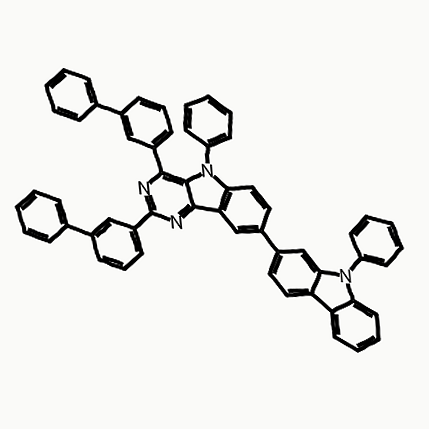 c1ccc(-c2cccc(-c3nc(-c4cccc(-c5ccccc5)c4)c4c(n3)c3cc(-c5ccc6c7ccccc7n(-c7ccccc7)c6c5)ccc3n4-c3ccccc3)c2)cc1